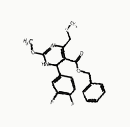 COCC1=C(C(=O)OCc2ccccc2)C(c2ccc(F)c(F)c2)NC(OC)=N1